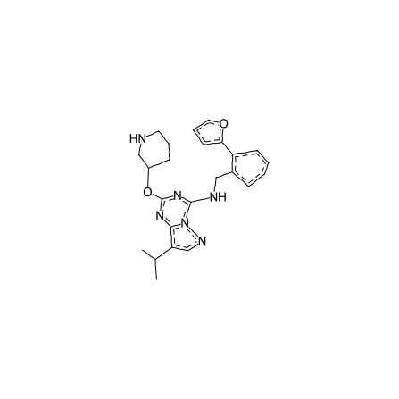 CC(C)c1cnn2c(NCc3ccccc3-c3ccco3)nc(OC3CCCNC3)nc12